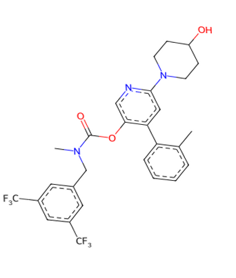 Cc1ccccc1-c1cc(N2CCC(O)CC2)ncc1OC(=O)N(C)Cc1cc(C(F)(F)F)cc(C(F)(F)F)c1